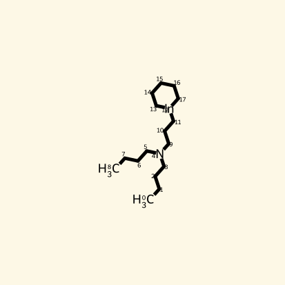 CCCCN(CCCC)CC[CH2][In]1[CH2]CCC[CH2]1